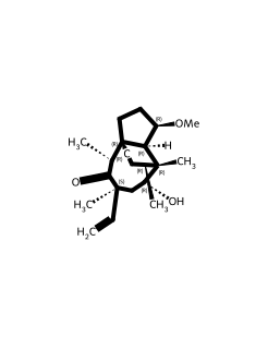 C=C[C@]1(C)C[C@@H](O)[C@]2(C)[C@H](C)CC[C@]3(CC[C@@H](OC)[C@H]32)[C@@H](C)C1=O